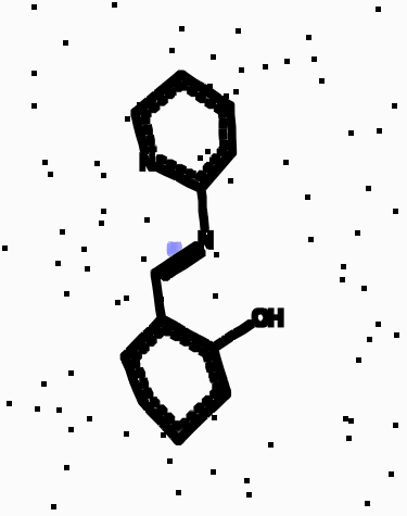 Oc1ccccc1/C=N/c1ccccn1